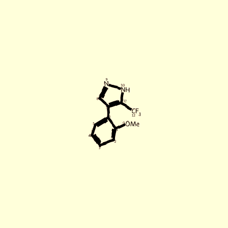 COc1ccccc1-c1[c]n[nH]c1C(F)(F)F